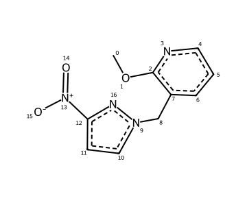 COc1ncccc1Cn1ccc([N+](=O)[O-])n1